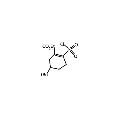 CCOC(=O)C1=C(S(=O)(=O)Cl)CCC(C(C)(C)C)C1